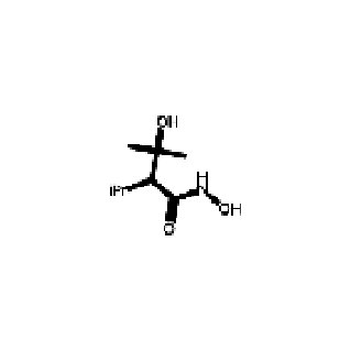 CC(C)C(C(=O)NO)C(C)(C)O